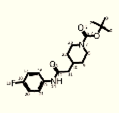 CC(C)(C)OC(=O)N1CCC(CC(=O)Nc2ccc(F)cc2)CC1